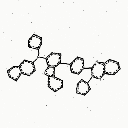 c1ccc(-c2nc3ccccc3nc2-c2ccc(-c3ccc(N(c4ccccc4)c4ccc5ccccc5c4)c4oc5ccccc5c34)cc2)cc1